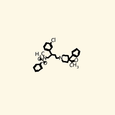 CC(=O)C1(c2ccccc2)CCN(CCC(CN(C)S(=O)(=O)c2ccccc2)c2cccc(Cl)c2)CC1